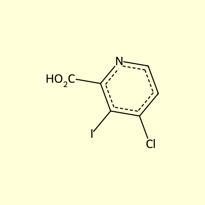 O=C(O)c1nccc(Cl)c1I